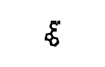 O=C(O)CNC1CSC2=CC=CCC21